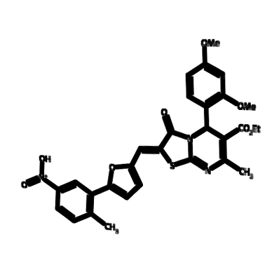 CCOC(=O)C1=C(C)N=c2s/c(=C\c3ccc(-c4cc([N+](=O)O)ccc4C)o3)c(=O)n2C1c1ccc(OC)cc1OC